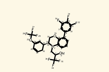 OC(CN1c2cccc(-c3cc(F)c(F)c(F)c3)c2OC[C@@H]1C1C=C(OC(F)(F)F)C=CC1)C(F)(F)F